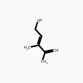 [CH]=C(C)/C(C)=C/CCCC